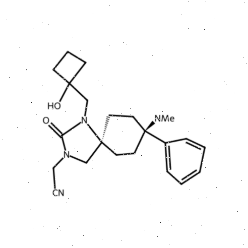 CN[C@]1(c2ccccc2)CC[C@]2(CC1)CN(CC#N)C(=O)N2CC1(O)CCC1